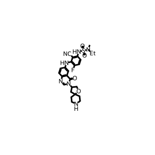 CCN(C)S(=O)(=O)Nc1ccc(F)c(Nc2ccc3ncn(C4COC5(CCNCC5)C4)c(=O)c3c2)c1C#N